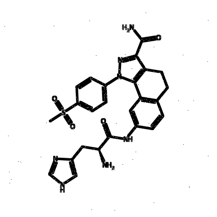 CS(=O)(=O)c1ccc(-n2nc(C(N)=O)c3c2-c2cc(NC(=O)[C@@H](N)Cc4c[nH]cn4)ccc2CC3)cc1